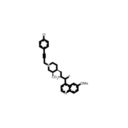 COc1ccc2nccc(C(F)CC[C@@H]3CCN(CC#Cc4ccc(Cl)cc4)C[C@@H]3C(=O)O)c2c1